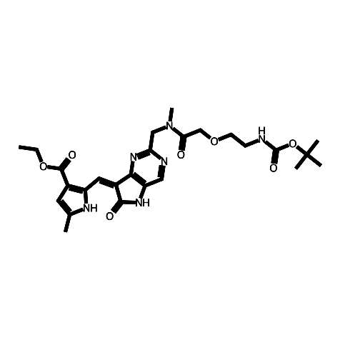 CCOC(=O)c1cc(C)[nH]c1/C=C1\C(=O)Nc2cnc(CN(C)C(=O)COCCNC(=O)OC(C)(C)C)nc21